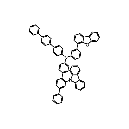 c1ccc(-c2ccc(-c3ccc(N(c4ccc(-c5ccc(-c6ccccc6)cc5-n5c6ccccc6c6ccccc65)cc4)c4cccc(-c5cccc6c5oc5ccccc56)c4)cc3)cc2)cc1